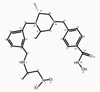 CCN(CC)CC(C)NCc1cccc(CN2C(C)CN(Cc3ccc(C(=O)NO)cc3)C[C@H]2C)c1